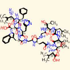 CC(C)C[C@H](NC(=O)[C@@H](NC(=O)CNC(=O)[C@H](CCC(N)=O)NC(=O)CNC(=O)[C@H](Cc1c[nH]c2ccccc12)NC(=O)[C@H](Cc1c[nH]cn1)NC(=O)[C@H](CC(=O)O)NC(=O)[C@H](Cc1ccccc1)NC(=O)[C@@H](N)C(C)C)[C@@H](C)O)C(=O)N[C@H](C(=O)N[C@H](C(=O)N[C@H](C(=O)O)C(C)C)[C@@H](C)O)C(C)C